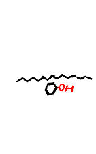 CCCCCCCCCCCCCCC.Oc1ccccc1